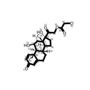 C[C@]12C=CC(=O)C=C1CC[C@@H]1[C@@H]2[C@@H](O)C[C@@]2(C)[C@H]1CC[C@]2(O)C(=O)COC(=O)CCl